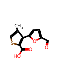 Cc1csc(C(=O)O)c1-c1ccc(C=O)o1